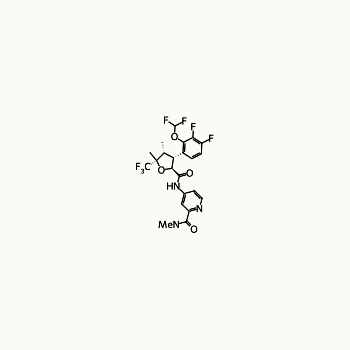 CNC(=O)c1cc(NC(=O)[C@H]2O[C@](C)(C(F)(F)F)[C@H](C)[C@@H]2c2ccc(F)c(F)c2OC(F)F)ccn1